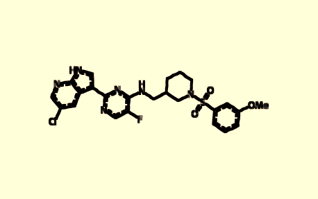 COc1cccc(S(=O)(=O)N2CCCC(CNc3nc(-c4c[nH]c5ncc(Cl)cc45)ncc3F)C2)c1